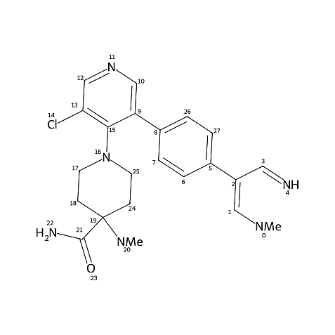 CN/C=C(\C=N)c1ccc(-c2cncc(Cl)c2N2CCC(NC)(C(N)=O)CC2)cc1